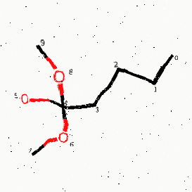 CCCCC([O])(OC)OC